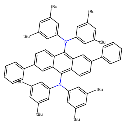 CC(C)(C)c1cc(N(c2cc(C(C)(C)C)cc(C(C)(C)C)c2)c2c3ccc(-c4ccccc4)cc3c(N(c3cc(C(C)(C)C)cc(C(C)(C)C)c3)c3cc(C(C)(C)C)cc(C(C)(C)C)c3)c3ccc(-c4ccccc4)cc23)cc(C(C)(C)C)c1